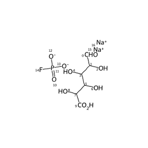 O=CC(O)C(O)C(O)C(O)C(=O)O.O=P([O-])([O-])F.[Na+].[Na+]